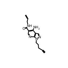 C#CCCCn1ncc2c(N)c(C(=O)NCC=C)cnc21